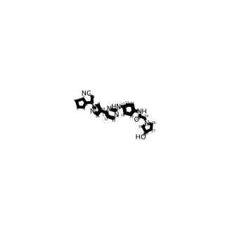 N#CCC(C1CCCC1)n1cc(-c2ccnc(Nc3ccc(NC(=O)CN4CC[C@@H](O)C4)cc3)n2)cn1